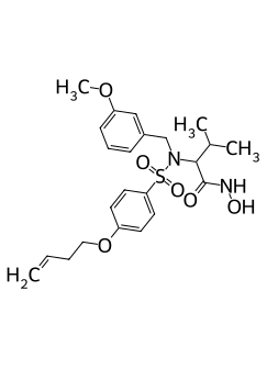 C=CCCOc1ccc(S(=O)(=O)N(Cc2cccc(OC)c2)C(C(=O)NO)C(C)C)cc1